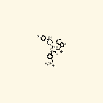 C[C@@H](c1c[nH]c2ccccc12)[C@@H](NC(=O)N1CCC(O)(c2ccc(Cl)cc2)CC1)C(=O)Nc1cccc(CN(C)C)c1